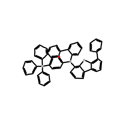 c1ccc(-c2ccccc2N(c2ccc([Si](c3ccccc3)(c3ccccc3)c3ccccc3)cc2)c2cccc3c2oc2c(-c4ccccc4)cccc23)cc1